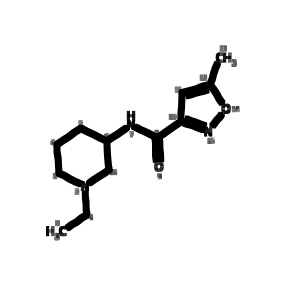 CCN1CCCC(NC(=O)c2cc(C)on2)C1